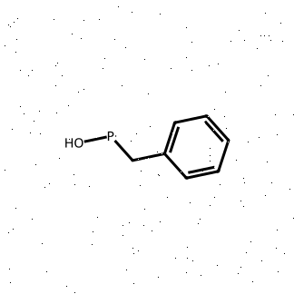 O[P]Cc1ccccc1